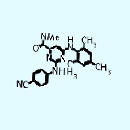 CNC(=O)c1cc(Nc2c(C)cc(C)cc2C)nc(Nc2ccc(C#N)cc2)n1